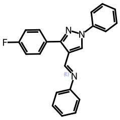 Fc1ccc(-c2nn(-c3ccccc3)cc2/C=N/c2ccccc2)cc1